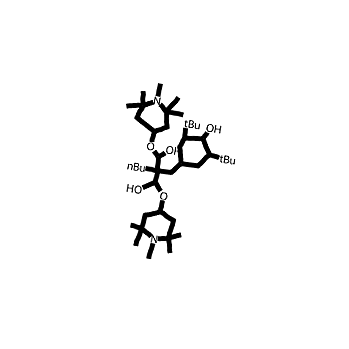 CCCCC(CC1CC(C(C)(C)C)C(O)C(C(C)(C)C)C1)(C(O)OC1CC(C)(C)N(C)C(C)(C)C1)C(O)OC1CC(C)(C)N(C)C(C)(C)C1